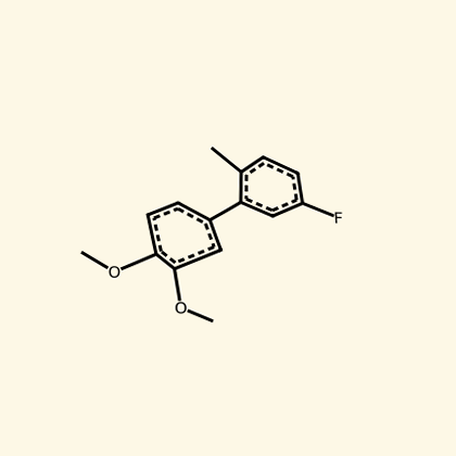 COc1ccc(-c2cc(F)ccc2C)cc1OC